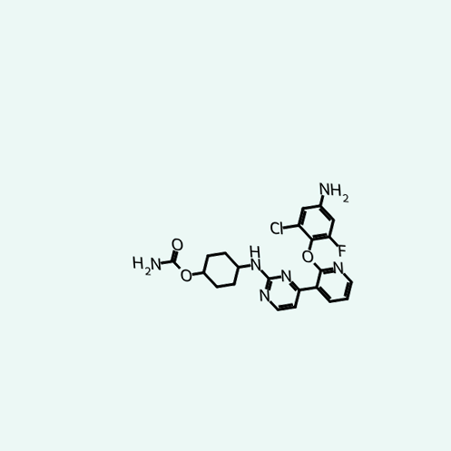 NC(=O)OC1CCC(Nc2nccc(-c3cccnc3Oc3c(F)cc(N)cc3Cl)n2)CC1